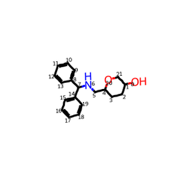 OC1CCC(CNC(c2ccccc2)c2ccccc2)OC1